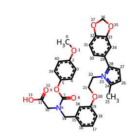 COc1ccc(OC(=O)N(CC(=O)O)Cc2cccc(OCCn3c(C)ccc3-c3ccc4c(c3)OCO4)c2)cc1